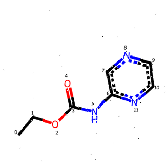 CCOC(=O)Nc1cnccn1